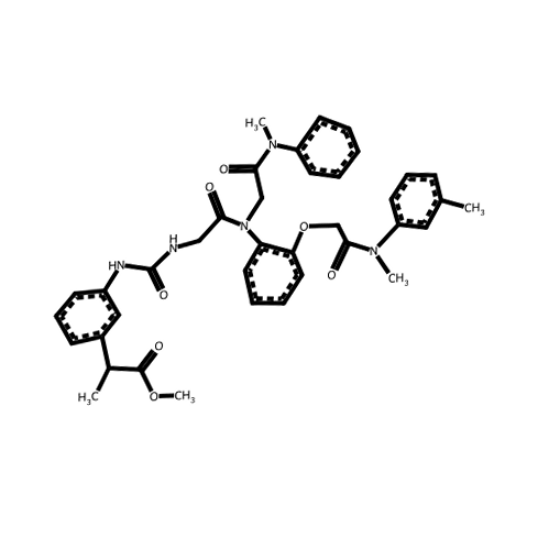 COC(=O)C(C)c1cccc(NC(=O)NCC(=O)N(CC(=O)N(C)c2ccccc2)c2ccccc2OCC(=O)N(C)c2cccc(C)c2)c1